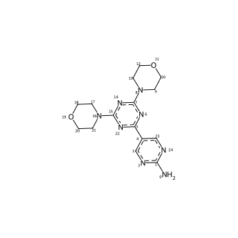 Nc1ncc(-c2nc(N3CCOCC3)nc(N3CCOCC3)n2)cn1